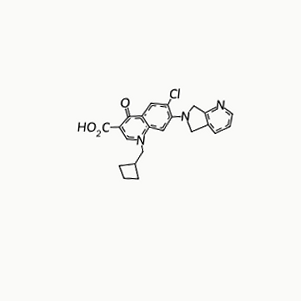 O=C(O)c1cn(CC2CCC2)c2cc(N3Cc4cccnc4C3)c(Cl)cc2c1=O